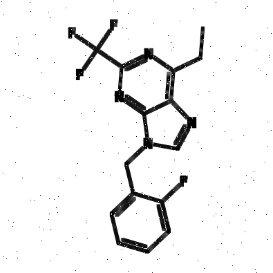 CCc1nc(C(F)(F)F)nc2c1ncn2Cc1ccccc1F